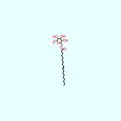 CCCCCCCCC=CCCCCCCCC(=O)OC[C@H]1O[C@H](OC)[C@H](O)[C@@H](O)[C@@H]1O